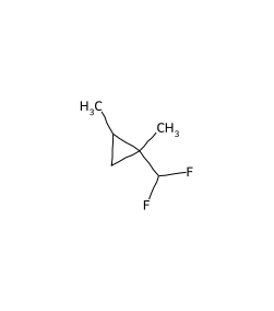 CC1CC1(C)C(F)F